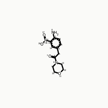 Nc1ccc(CC(=O)N2CCOCC2)cc1[N+](=O)[O-]